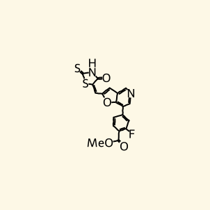 COC(=O)c1ccc(-c2cncc3cc(C=C4SC(=S)NC4=O)oc23)cc1F